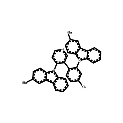 CC(C)(C)c1ccc2c(c1)c1ccccc1n2-c1ccncc1-c1ccc(C#N)cc1-n1c2ccccc2c2cc(C(C)(C)C)ccc21